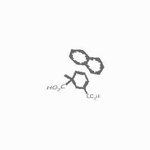 CC1(C(=O)O)C=CC=C(C(=O)O)C1.c1ccc2ccccc2c1